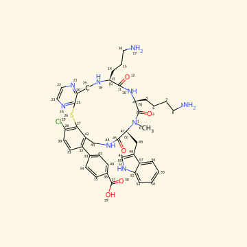 CN1C(=O)[C@H](CCCCN)NC(=O)[C@H](CCCN)NCc2nccnc2Sc2c(Cl)ccc(-c3ccc(C(=O)O)cc3)c2CNC(=O)[C@@H]1Cc1c[nH]c2ccccc12